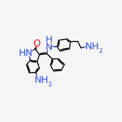 NCCc1ccc(N/C(=C2\C(=O)Nc3ccc(N)cc32)c2ccccc2)cc1